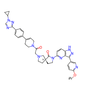 CC(C)Oc1ccc(-c2n[nH]c3ccc(N4CC[C@]5(CCN(CC(=O)N6CC=C(c7ccc(-c8ncn(C9CC9)n8)cc7)CC6)C5)C4=O)nc23)cn1